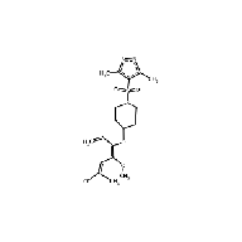 C=N/C(OC1CCN(S(=O)(=O)c2c(C)n[nH]c2C)CC1)=C(\C=C(/C)Cl)OC